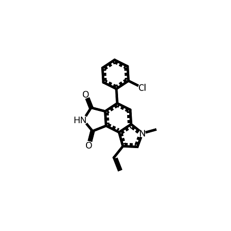 C=Cc1cn(C)c2cc(-c3ccccc3Cl)c3c(c12)C(=O)NC3=O